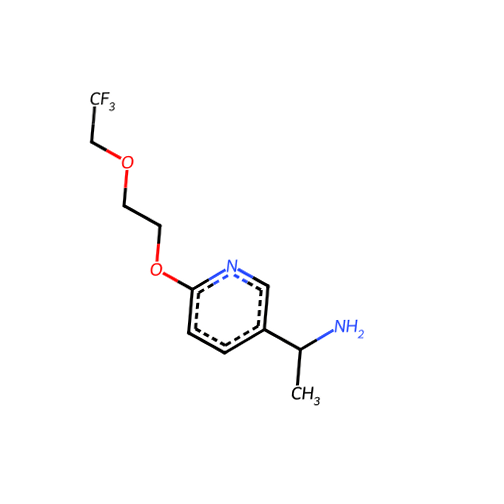 CC(N)c1ccc(OCCOCC(F)(F)F)nc1